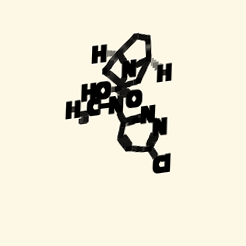 CN(c1ccc(Cl)nn1)[C@@H]1C[C@H]2CC[C@@H](C1)N2C(=O)O